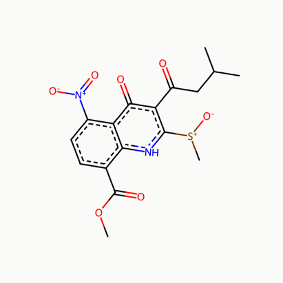 COC(=O)c1ccc([N+](=O)[O-])c2c(=O)c(C(=O)CC(C)C)c([S+](C)[O-])[nH]c12